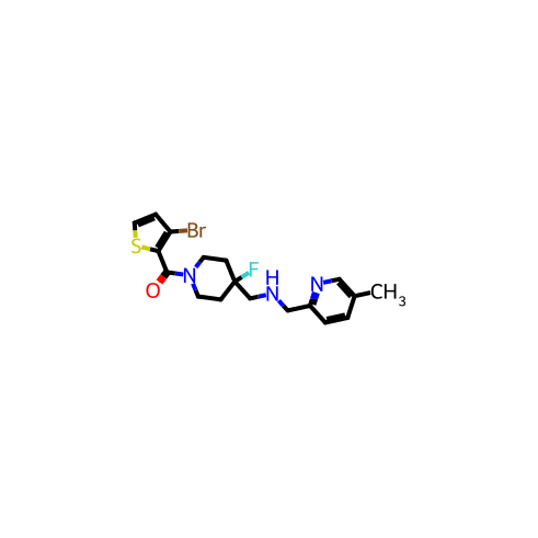 Cc1ccc(CNCC2(F)CCN(C(=O)c3sccc3Br)CC2)nc1